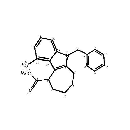 COC(=O)C1CCCCc2c1c1c(O)cccc1n2Cc1ccccc1